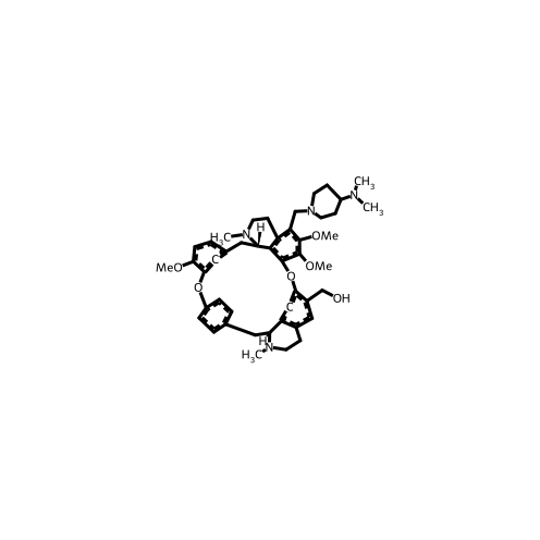 COc1ccc2cc1Oc1ccc(cc1)C[C@H]1c3cc(c(CO)cc3CCN1C)Oc1c(OC)c(OC)c(CN3CCC(N(C)C)CC3)c3c1[C@H](C2)N(C)CC3